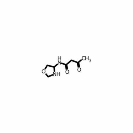 CC(=O)CC(=O)NC1COCN1